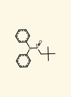 CC(C)(C)C[PH](=O)N(c1ccccc1)c1ccccc1